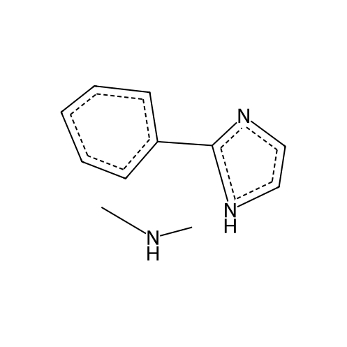 CNC.c1ccc(-c2ncc[nH]2)cc1